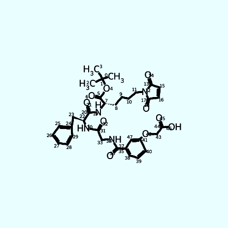 CC(C)(C)OC(=O)[C@H](CCCCN1C(=O)C=CC1=O)NC(=O)[C@H](Cc1ccccc1)NC(=O)CNC(=O)c1cccc(OCC(=O)O)c1